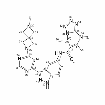 CC1=C(C(=O)Nc2ccc3[nH]nc(-c4cc(N5CC6(CN(C)C6)C5)ncn4)c3c2)[C@H](C)n2nnnc2N1C